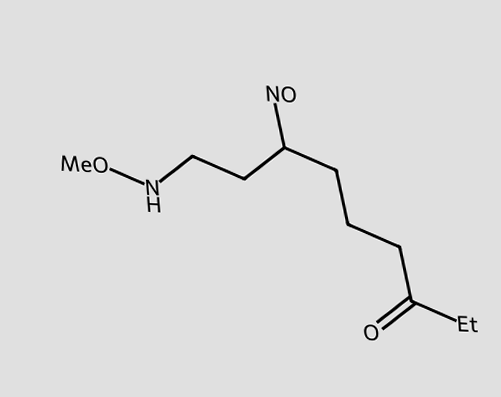 CCC(=O)CCCC(CCNOC)N=O